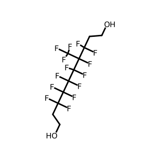 OCCC(F)(F)C(F)(F)C(F)(F)C(F)(F)C(F)(C(F)(F)F)C(F)(F)CCO